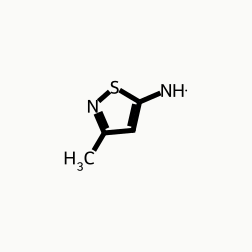 Cc1cc([NH])sn1